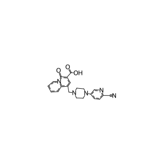 N#Cc1ccc(N2CCN(Cc3cc(C(=O)O)c(=O)n4ccccc34)CC2)cn1